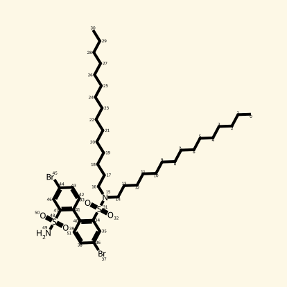 CCCCCCCCCCCCCCCN(CCCCCCCCCCCCCCC)S(=O)(=O)c1cc(Br)ccc1-c1ccc(Br)cc1S(N)(=O)=O